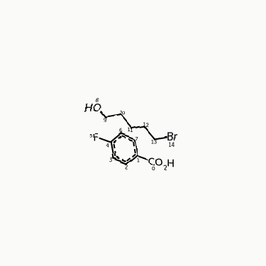 O=C(O)c1ccc(F)cc1.OCCCCCBr